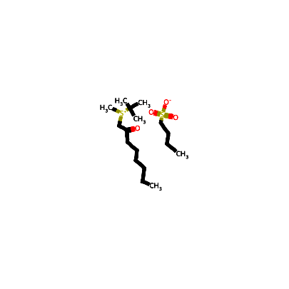 CCCCCCC(=O)C[S+](C)C(C)(C)C.CCCCS(=O)(=O)[O-]